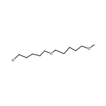 COCCCCCOCCCCC[O]